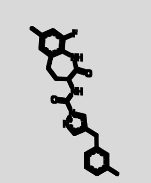 Cc1cccc(Cc2cnn(C(=O)NC3CCc4cc(C)cc(F)c4NC3=O)c2)c1